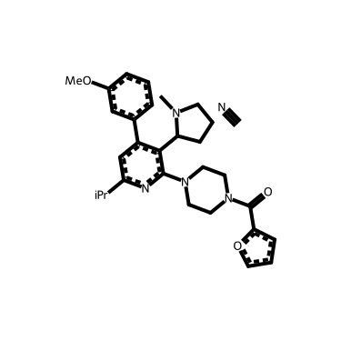 C#N.COc1cccc(-c2cc(C(C)C)nc(N3CCN(C(=O)c4ccco4)CC3)c2C2CCCN2C)c1